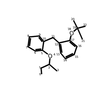 CCC(C)Oc1ccccc1[CH]c1ccccc1OC(C)(C)C